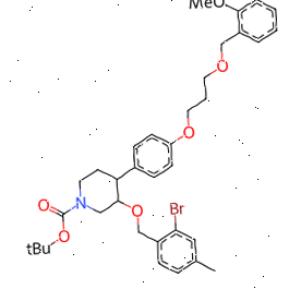 COc1ccccc1COCCCOc1ccc(C2CCN(C(=O)OC(C)(C)C)CC2OCc2ccc(C)cc2Br)cc1